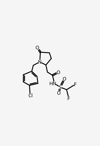 O=C(CC1CCC(=O)N1Cc1ccc(Cl)cc1)NS(=O)(=O)C(F)F